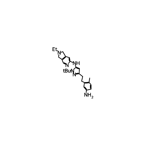 CCN1Cc2cnc(Nc3cc(CCc4cc(N)ccc4C)nn3C(C)(C)C)cc2C1